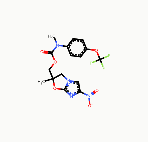 CN(C(=O)OCC1(C)Cn2cc([N+](=O)[O-])nc2O1)c1ccc(OC(F)(F)F)cc1